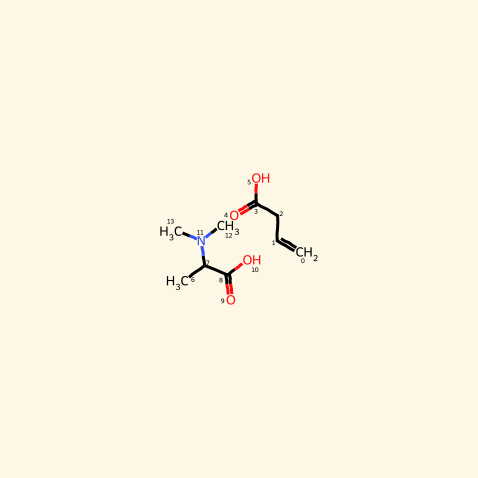 C=CCC(=O)O.CC(C(=O)O)N(C)C